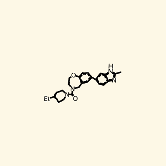 CCC1CCN(C(=O)N2CCOc3ccc(-c4ccc5nc(C)[nH]c5c4)cc3C2)CC1